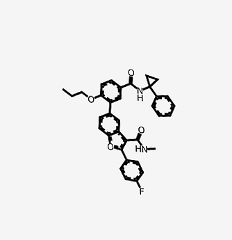 CCCOc1ccc(C(=O)NC2(c3ccccc3)CC2)cc1-c1ccc2oc(-c3ccc(F)cc3)c(C(=O)NC)c2c1